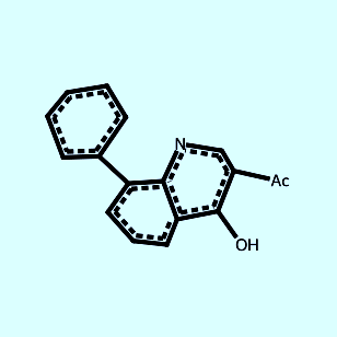 CC(=O)c1cnc2c(-c3ccccc3)cccc2c1O